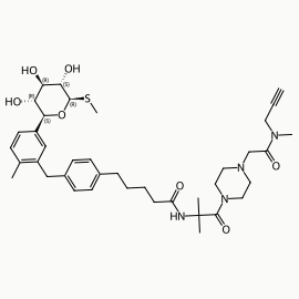 C#CCN(C)C(=O)CN1CCN(C(=O)C(C)(C)NC(=O)CCCCc2ccc(Cc3cc([C@@H]4O[C@H](SC)[C@@H](O)[C@H](O)[C@H]4O)ccc3C)cc2)CC1